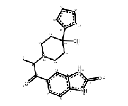 CC(C(=O)c1ccc2[nH]c(=O)[nH]c2c1)N1CCC(O)(c2cccs2)CC1